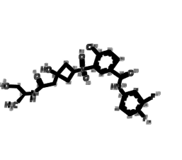 C[C@@H](CO)NC(=O)CC1(O)CC(S(=O)(=O)c2cc(C(=O)Nc3ccc(F)c(F)c3)ccc2Cl)C1